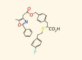 Cc1oc(-c2ccccc2)nc1CC(=O)OCc1ccc(CC(SCCc2ccc(F)cc2)C(=O)O)cc1